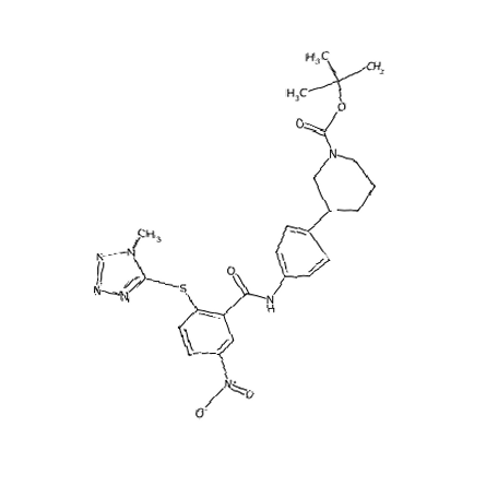 Cn1nnnc1Sc1ccc([N+](=O)[O-])cc1C(=O)Nc1ccc(C2CCCN(C(=O)OC(C)(C)C)C2)cc1